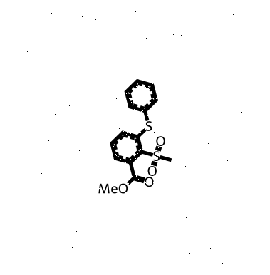 COC(=O)c1cccc(Sc2ccccc2)c1S(C)(=O)=O